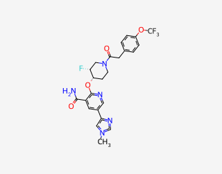 Cn1cnc(-c2cnc(O[C@H]3CCN(C(=O)Cc4ccc(OC(F)(F)F)cc4)C[C@H]3F)c(C(N)=O)c2)c1